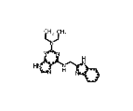 CCN(CC)c1nc(NCc2nc3ccccc3[nH]2)c2nc[nH]c2n1